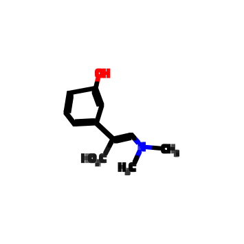 CN(C)C=C(C(=O)O)c1cccc(O)c1